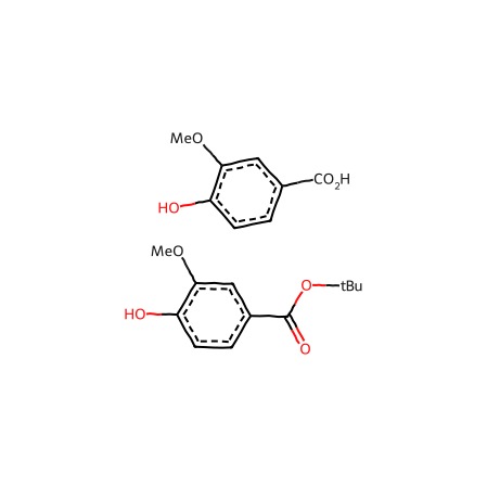 COc1cc(C(=O)O)ccc1O.COc1cc(C(=O)OC(C)(C)C)ccc1O